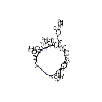 [2H]C([2H])([2H])O[C@H]1C[C@@H]2CC[C@@H](C)[C@@](O)(O2)C(=O)C(=O)N2CCCC[C@H]2C(=O)O[C@H]([C@H](C)C[C@@H]2CC[C@H](n3cnnn3)[C@H](OC)C2)CC(=O)[C@H](C([2H])([2H])[2H])/C=C(\C)[C@@H](O)[C@@H](OC)C(=C)[C@H](C)C[C@H](C)/C=C/C=C/C=C/1C